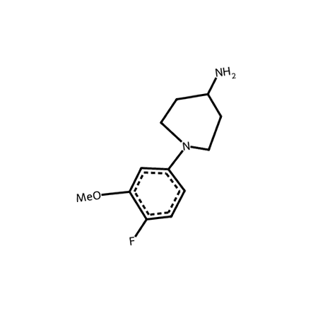 COc1cc(N2CCC(N)CC2)ccc1F